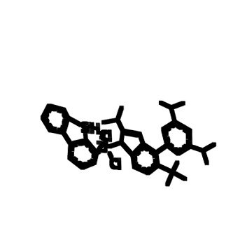 CC(C)C1=Cc2c(ccc(C(C)(C)C)c2-c2cc(C(C)C)cc(C(C)C)c2)[CH]1[Zr]([Cl])([Cl])[c]1cccc2c1[SiH2]c1ccccc1-2